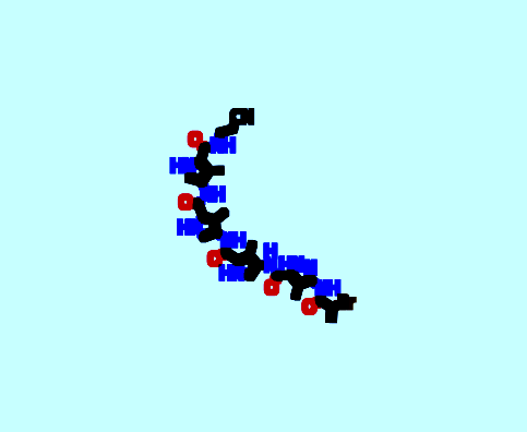 C=C(Br)C(=O)Nc1n[nH]c(C(=O)Nc2c[nH]c(C(=O)Nc3c[nH]c(C(=O)Nc4c[nH]c(C(=O)NCCC#N)c4C)c3C)c2C)c1C